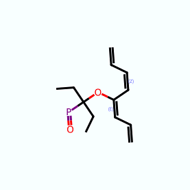 C=C/C=C\C(=C/C=C)OC(CC)(CC)P=O